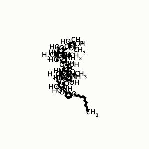 CCCCCC/C=C\CCCOc1cccc(C(=O)N[C@@H]2C(O[C@H]3C(O)C(NC(C)=O)C(OC4C(CO)O[C@@H](O[C@H]5C(O)C(NC(C)=O)[C@H](OC6C(CO[C@@H]7OC(C)C(O)[C@H](C)[C@H]7O)OC(O)[C@@H](NC(C)=O)[C@H]6O)O[C@H]5CO)[C@@H](NC(C)=O)[C@H]4O)O[C@H]3CO)OC(CO)[C@@H](O)[C@@H]2O)c1